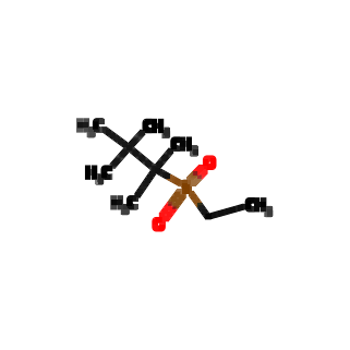 CCS(=O)(=O)C(C)(C)C(C)(C)C